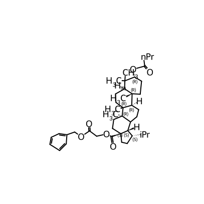 CCCC(=O)O[C@@H]1CC[C@]2(C)[C@H]3CCC4[C@@H]5[C@H](C(C)C)CC[C@]5(C(=O)OCC(=O)OCc5ccccc5)CC[C@@]4(C)[C@]3(C)CC[C@H]2C1(C)C